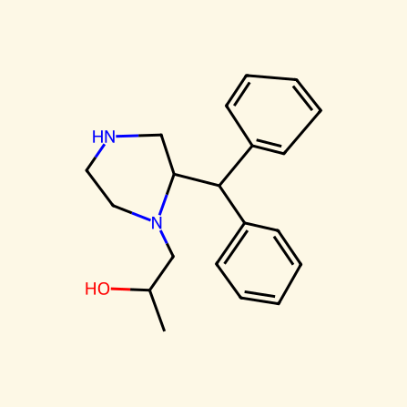 CC(O)CN1CCNCC1C(c1ccccc1)c1ccccc1